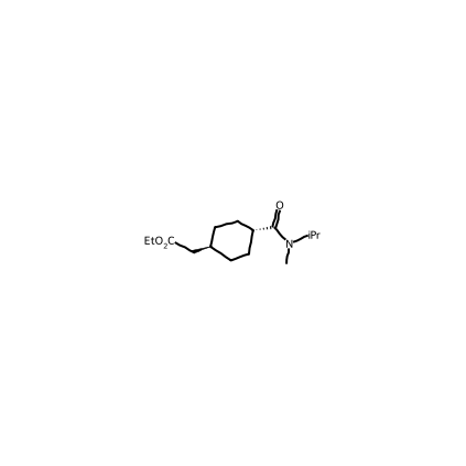 CCOC(=O)C[C@H]1CC[C@H](C(=O)N(C)C(C)C)CC1